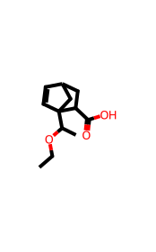 CCOC(C)C12C=CC(CC1C(=O)O)C2